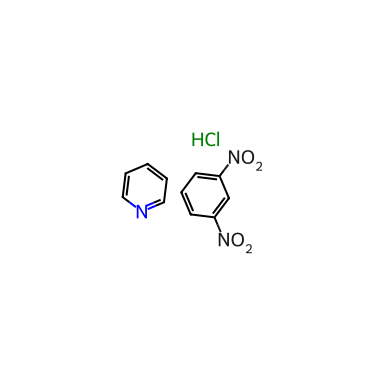 Cl.O=[N+]([O-])c1cccc([N+](=O)[O-])c1.c1ccncc1